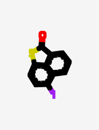 O=C1Sc2ccc(I)c3cccc1c23